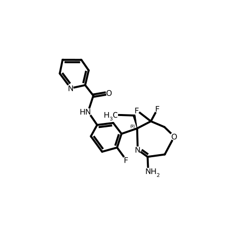 CC[C@]1(c2cc(NC(=O)c3ccccn3)ccc2F)N=C(N)COCC1(F)F